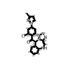 Cc1ccn(-c2ccc(C(=O)C3c4ccccc4NC=C4N=NNN43)c(Cl)c2)n1